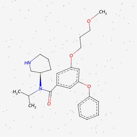 COCCCOc1cc(Oc2ccccc2)cc(C(=O)N(C(C)C)[C@@H]2CCCNC2)c1